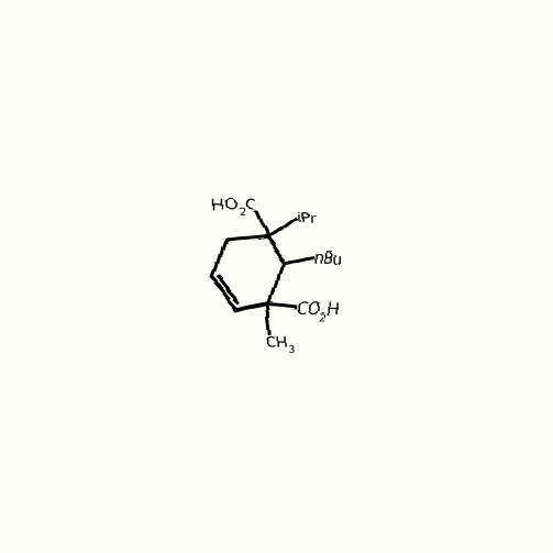 CCCCC1C(C)(C(=O)O)C=CCC1(C(=O)O)C(C)C